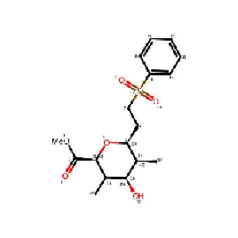 COC(=O)[C@H]1O[C@@H](CCS(=O)(=O)c2ccccc2)[C@@H](C)[C@@H](O)C1C